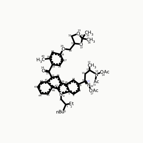 CCCCC(CC)Cn1c2ccc(/C(CC(C)N(OC(C)=O)C(C)=O)=N\OC(C)=O)cc2c2cc(C(=O)c3ccc(OCC4COC(C)(C)O4)cc3C)c3ccccc3c21